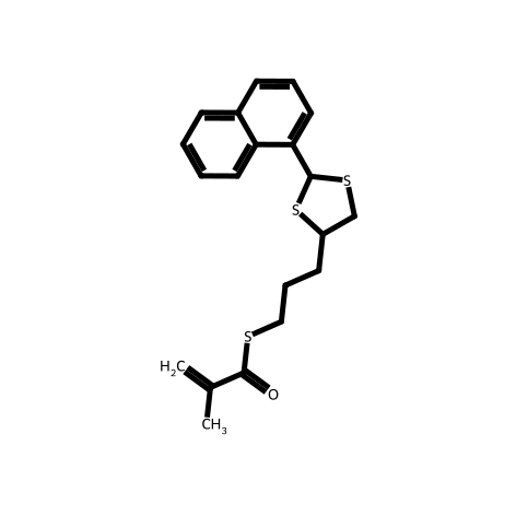 C=C(C)C(=O)SCCCC1CSC(c2cccc3ccccc23)S1